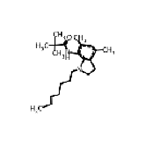 CCCCCCCN1CCc2c(C)cc(C)c(NC(=O)C(C)(C)C)c21